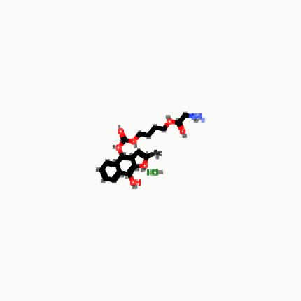 CC(=O)c1cc2c(OC(=O)OCCCCOC(=O)CN)c3ccccc3c(O)c2o1.Cl